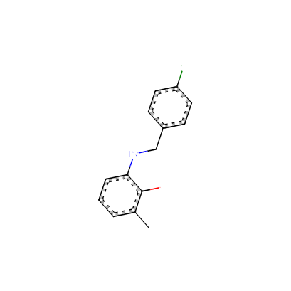 Cc1cccc(NCc2ccc(Cl)cc2)c1O